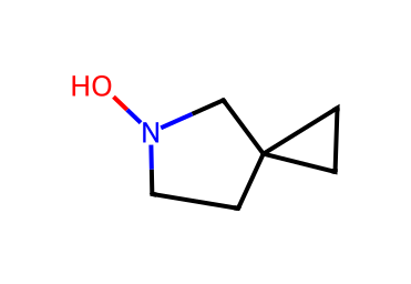 ON1CCC2(CC2)C1